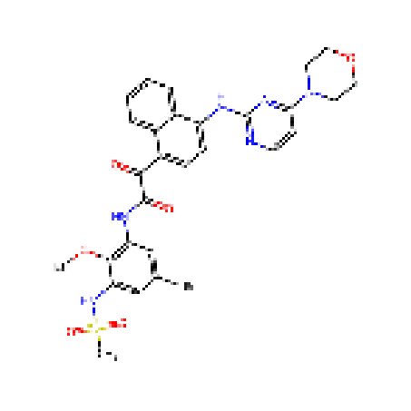 CCOc1c(NC(=O)C(=O)c2ccc(Nc3nccc(N4CCOCC4)n3)c3ccccc23)cc(C(C)(C)C)cc1NS(C)(=O)=O